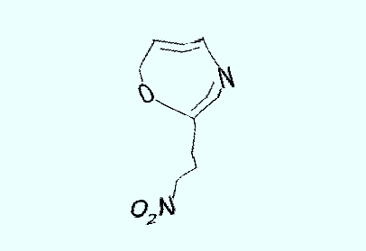 O=[N+]([O-])Cc1ncco1